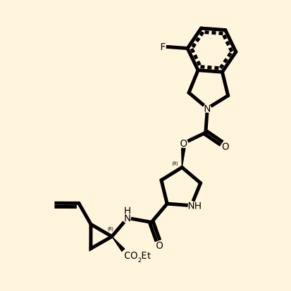 C=CC1C[C@]1(NC(=O)C1C[C@@H](OC(=O)N2Cc3cccc(F)c3C2)CN1)C(=O)OCC